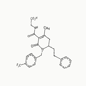 O=C(O)CNC(=O)C1=C(O)CC(CCc2ccccc2)N(Cc2ccc(C(F)(F)F)cc2)C1=O